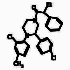 CCC(C(=O)N1CCN(c2ccc(C)cc2Cl)C(c2ccc(Cl)cc2)C1)c1ccccc1